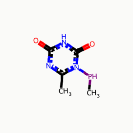 CPn1c(C)nc(=O)[nH]c1=O